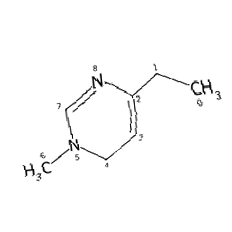 CCC1=CCN(C)C=N1